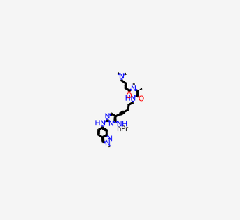 CCCNc1nc(Nc2ccc3cn(C)nc3c2)ncc1C#CCCCNC(=O)[C@H](C)N(C)C(=O)/C=C/CN(C)C